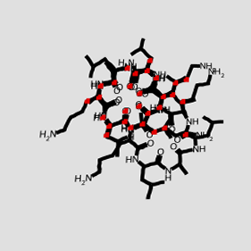 CC(=O)NC(CCCCN)C(=O)NC(CC(C)C)C(=O)NC(C)C(=O)NC(CC(C)C)C(=O)NC(CCCCN)C(=O)NC(CC(C)C)C(=O)NC(C)C(=O)NC(CC(C)C)C(=O)NC(CCCCN)C(=O)NC(C)C(=O)NC(CC(C)C)C(=O)NC(CCCCN)C(=O)NC(CC(C)C)C(=O)NC(C)C(=O)NC(C)C(=O)NC(CC(C)C)C(=O)NC(CCCCN)C(=O)NC(CC(C)C)C(=O)NC(C)C(N)=O